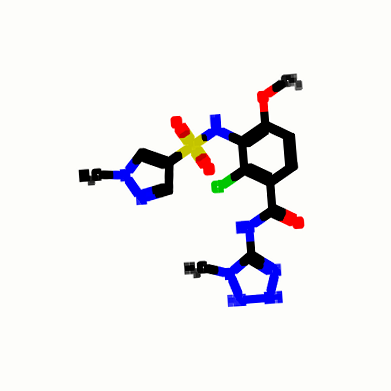 CN1NNN=C1NC(=O)c1ccc(OC(F)(F)F)c(NS(=O)(=O)c2cnn(C)c2)c1Cl